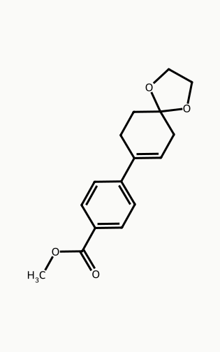 COC(=O)c1ccc(C2=CCC3(CC2)OCCO3)cc1